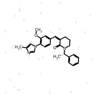 COc1cc(/C=C2/CCCN([C@@H](C)c3ccccc3)C2=O)ccc1-n1cnc(C)c1